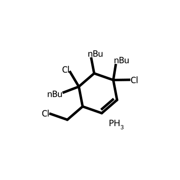 CCCCC1C(Cl)(CCCC)C=CC(CCl)C1(Cl)CCCC.P